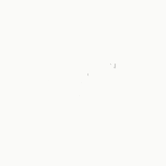 CCCC(CC)COC(=O)CCCN